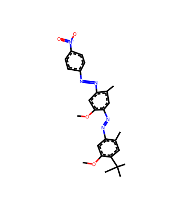 COc1cc(N=Nc2ccc([N+](=O)[O-])cc2)c(C)cc1N=Nc1cc(OC)c(C(C)(C)C)cc1C